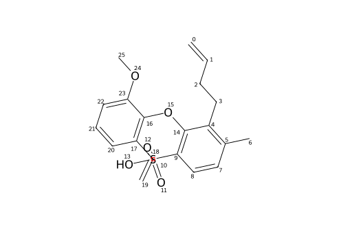 C=CCCc1c(C)ccc(S(=O)(=O)O)c1Oc1c(C=C)cccc1OC